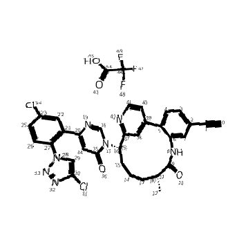 C#Cc1ccc2c(c1)NC(=O)[C@H](C)CCC[C@H](n1cnc(-c3cc(Cl)ccc3-n3cc(Cl)nn3)cc1=O)c1cc-2ccn1.O=C(O)C(F)(F)F